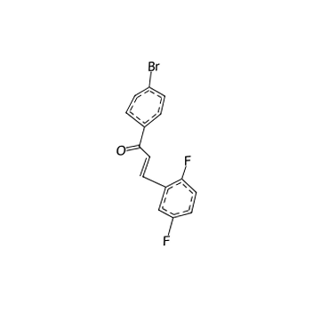 O=C(C=Cc1cc(F)ccc1F)c1ccc(Br)cc1